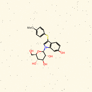 COc1ccc(Sc2cn([C@@H]3O[C@H](CO)[C@@H](O)[C@H](O)[C@H]3O)c3cc(O)ccc23)cc1